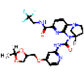 CC1(C)OCC(COc2ccnc(NC(=O)N3c4nc(C(=O)NCC(F)(F)F)ccc4N4CC[C@H]3C4)c2)O1